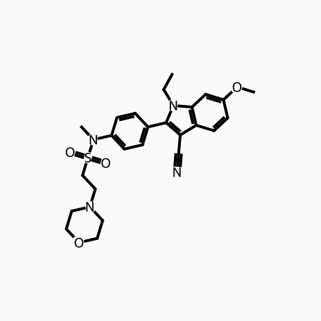 CCn1c(-c2ccc(N(C)S(=O)(=O)CCN3CCOCC3)cc2)c(C#N)c2ccc(OC)cc21